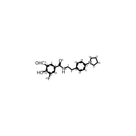 O=Cc1cc(C(=O)NCCc2ccc(N3CCCC3)cc2)cc(F)c1O